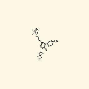 CC(C)(C)[Si](C)(C)OC/C=C/c1cn(-c2ccc(C#N)cc2)c(=O)c(N2CC3(COC3)C2)n1